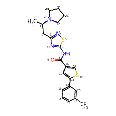 CC(Cc1nsc(NC(=O)c2csc(-c3cccc(C(F)(F)F)c3)c2)n1)N1CCCC1